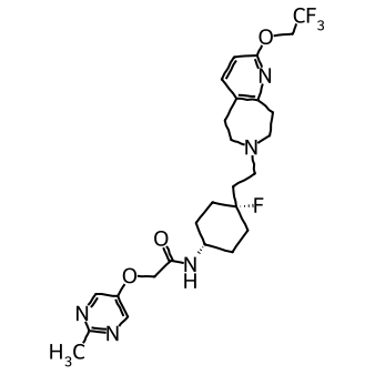 Cc1ncc(OCC(=O)N[C@H]2CC[C@](F)(CCN3CCc4ccc(OCC(F)(F)F)nc4CC3)CC2)cn1